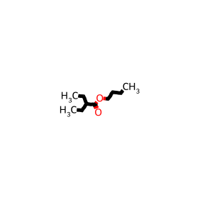 CCCCOC(=O)C(CC)CC